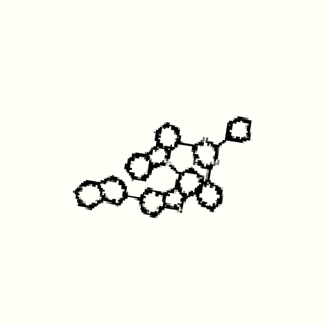 c1ccc(-c2nc(-c3ccccc3)nc(-c3cccc4c5ccccc5n(-c5cccc6oc7ccc(-c8ccc9ccccc9c8)cc7c56)c34)n2)cc1